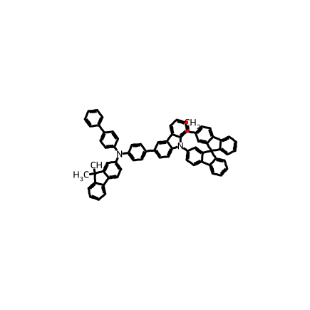 C=Cc1ccc2c(c1)C1(c3ccccc3-2)c2ccccc2-c2ccc(-n3c4ccccc4c4cc(-c5ccc(N(c6ccc(-c7ccccc7)cc6)c6ccc7c(c6)C(C)(C)c6ccccc6-7)cc5)ccc43)cc21